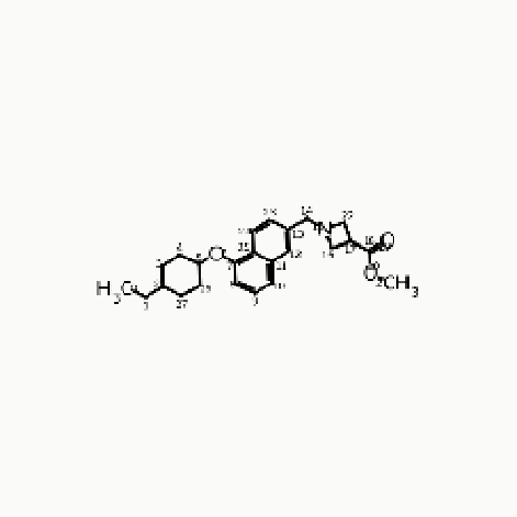 CCC1CCC(Oc2cccc3cc(CN4CC(C(=O)OC)C4)ccc23)CC1